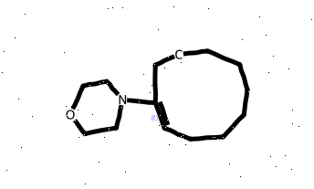 C1=C(/N2CCOCC2)CCCCCCCC/1